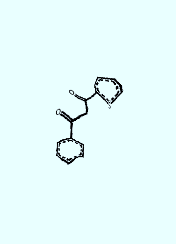 O=C(CC(=O)c1cccs1)c1ccccc1